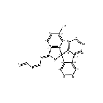 C=C/C=C\C=C1/CC2(c3cc(I)ccc31)c1ccccc1-c1ccccc12